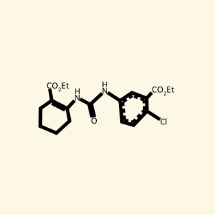 CCOC(=O)C1=C(NC(=O)Nc2ccc(Cl)c(C(=O)OCC)c2)CCCC1